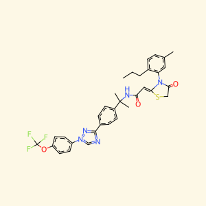 CCCc1ccc(C)cc1N1C(=O)CS/C1=C\C(=O)NC(C)(C)c1ccc(-c2ncn(-c3ccc(OC(F)(F)F)cc3)n2)cc1